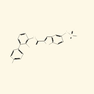 CS(=O)(=O)Nc1ccc2sc(C(=O)Nc3cccc(-c4ccc(F)cc4)c3F)cc2c1